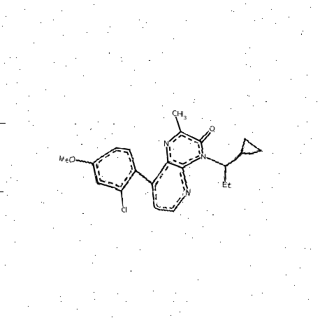 CCC(C1CC1)n1c(=O)c(C)nc2c(-c3ccc(OC)cc3Cl)ccnc21